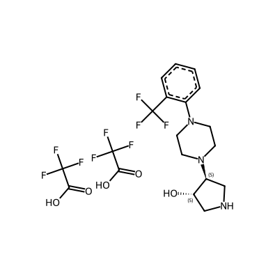 O=C(O)C(F)(F)F.O=C(O)C(F)(F)F.O[C@H]1CNC[C@@H]1N1CCN(c2ccccc2C(F)(F)F)CC1